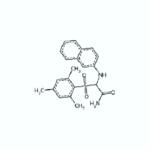 Cc1cc(C)c(S(=O)(=O)C(Nc2ccc3ccccc3c2)C(N)=O)c(C)c1